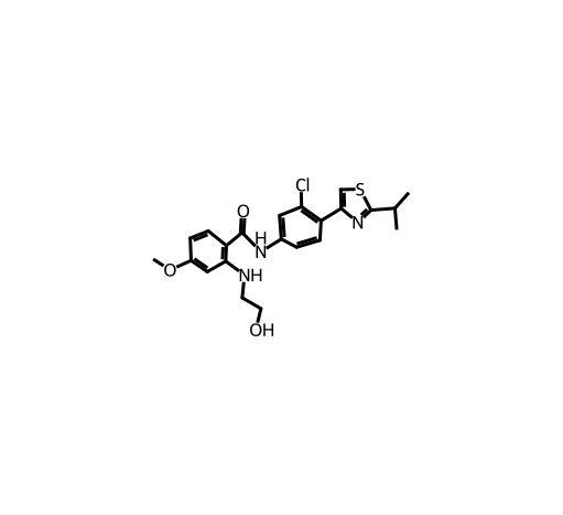 COc1ccc(C(=O)Nc2ccc(-c3csc(C(C)C)n3)c(Cl)c2)c(NCCO)c1